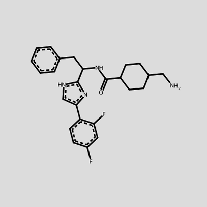 NCC1CCC(C(=O)NC(Cc2ccccc2)c2nc(-c3ccc(F)cc3F)c[nH]2)CC1